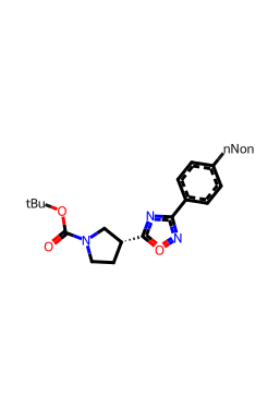 CCCCCCCCCc1ccc(-c2noc([C@@H]3CCN(C(=O)OC(C)(C)C)C3)n2)cc1